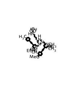 CCOP(C)(=O)c1cc(C#Cc2ccc(C)cc2)cc(CN2C[C@H](CCCCNC(=O)OC(C)(C)C)NCN(Cc3cc(C#Cc4ccc(OC)cc4)cc(P(C)(C)=O)n3)C2)n1